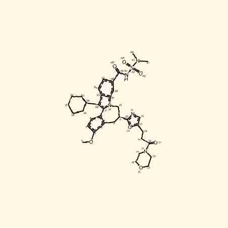 COc1ccc2c(c1)C[C@H](c1ncc(CCC(=O)N3CCOCC3)o1)Cn1c-2c(C2CCCCC2)c2ccc(C(=O)NS(=O)(=O)N(C)C)cc21